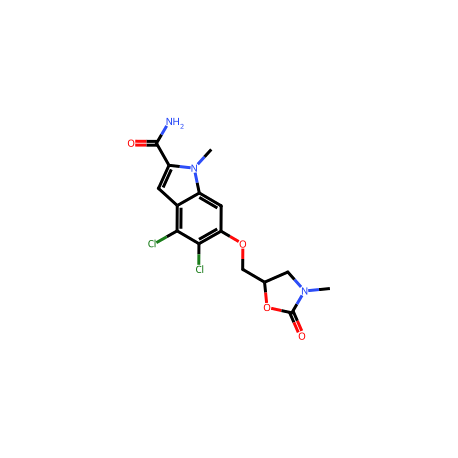 CN1CC(COc2cc3c(cc(C(N)=O)n3C)c(Cl)c2Cl)OC1=O